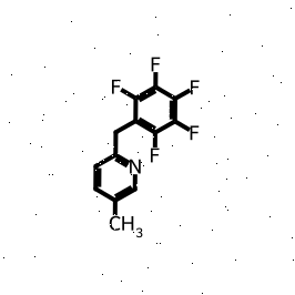 Cc1ccc(Cc2c(F)c(F)c(F)c(F)c2F)nc1